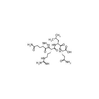 CC(C)C[C@H](NC(=O)[C@H](CCCNC(=N)N)NC(=O)[C@@H](N)CCC(N)=O)C(=O)N[C@@H](CCC(N)=O)C(=O)O